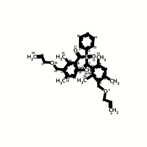 C=CCOCc1c(C)cc(C)c(C(=O)P(=O)(C(=O)c2c(C)cc(C)c(COCC=C)c2C)c2ccccc2)c1C